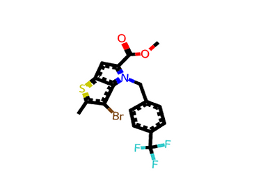 COC(=O)c1cc2sc(C)c(Br)c2n1Cc1ccc(C(F)(F)F)cc1